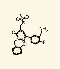 CS(=O)(=O)OCc1cc(-c2ccc(F)c(CN)c2)nn(Cc2ccccc2Cl)c1=O